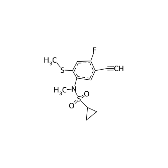 C#Cc1cc(N(C)S(=O)(=O)C2CC2)c(SC)cc1F